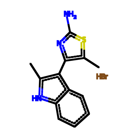 Br.Cc1[nH]c2ccccc2c1-c1nc(N)sc1C